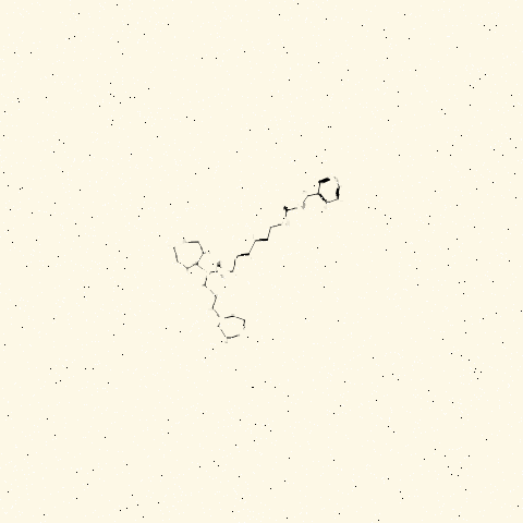 O=C(NCCCCCCS(=O)(=O)N(CCCN1CCOCC1)C1CCCCCC1)NCc1cccnc1